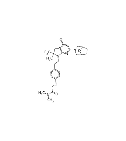 CN(C)C(=O)COc1ccc(CCN2c3nc(N4CC5CCC(C4)O5)cc(=O)n3CC2(C)C(F)(F)F)cc1